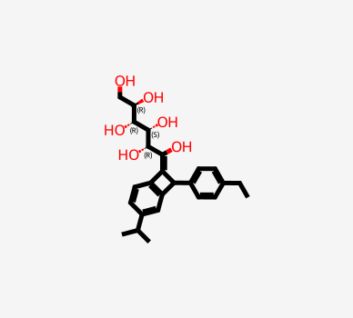 CCc1ccc(C2C(=C(O)[C@H](O)[C@@H](O)[C@H](O)[C@H](O)CO)c3ccc(C(C)C)cc32)cc1